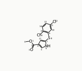 COC(=O)c1c[nH]c(Sc2cc(Cl)ccc2Cl)c1